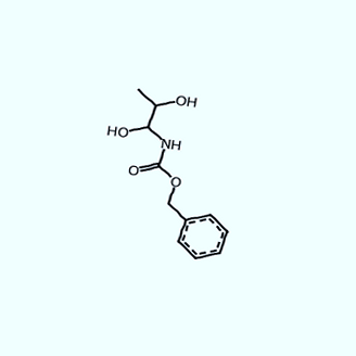 CC(O)C(O)NC(=O)OCc1ccccc1